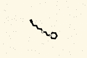 C#CCCCCOCCN1CCCCC1